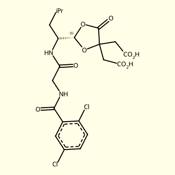 CC(C)CC(NC(=O)CNC(=O)c1cc(Cl)ccc1Cl)[C@@H]1OC(=O)C(CC(=O)O)(CC(=O)O)O1